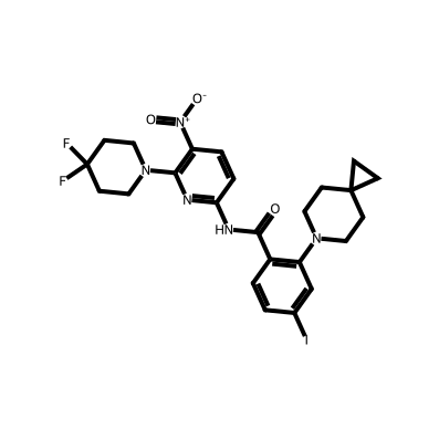 O=C(Nc1ccc([N+](=O)[O-])c(N2CCC(F)(F)CC2)n1)c1ccc(I)cc1N1CCC2(CC1)CC2